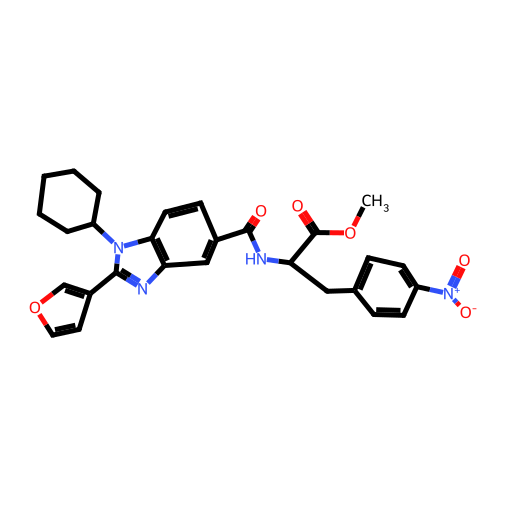 COC(=O)C(Cc1ccc([N+](=O)[O-])cc1)NC(=O)c1ccc2c(c1)nc(-c1ccoc1)n2C1CCCCC1